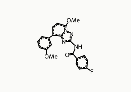 COc1cccc(-c2ccc(OC)n3nc(NC(=O)c4ccc(F)cc4)nc23)c1